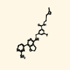 COCCCNC(=O)c1cc(F)cc(CNc2ncc(-c3ccnc(N)n3)c3c2CCO3)c1